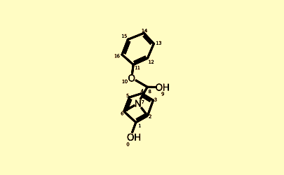 Oc1c2cccc1N2C(O)Oc1ccccc1